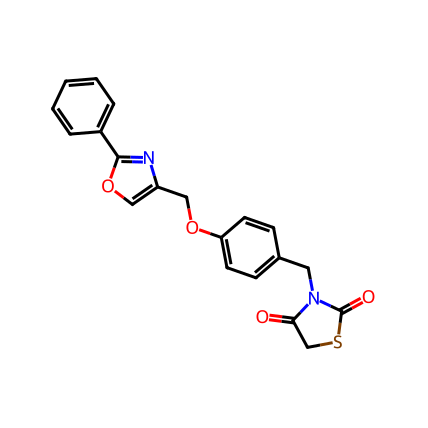 O=C1CSC(=O)N1Cc1ccc(OCc2coc(-c3ccccc3)n2)cc1